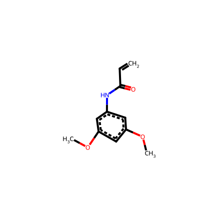 C=CC(=O)Nc1cc(OC)cc(OC)c1